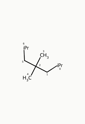 [CH2]C(C)CC(C)(C)CC(C)C